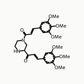 COc1cc(/C=C/C(=O)C2CN(C(=O)/C=C/c3cc(OC)c(OC)c(OC)c3)CCN2)cc(OC)c1OC